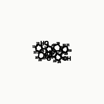 O=C(c1ccc(O)c(-c2ccccc2)c1C1(O)CCCCC1)c1ccc(O)c(-c2ccccc2)c1C1(O)CCCCC1